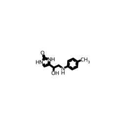 Cc1ccc(NCC(O)c2c[nH]c(=O)[nH]2)cc1